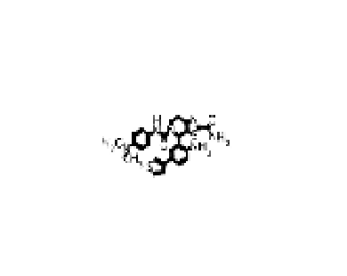 CN(C)c1ccc(NC(=O)N2CCc3nc(C(N)=O)sc3C2c2cc(-c3ccsc3)ccc2N)cc1